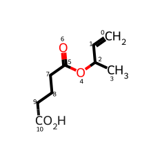 C=CC(C)OC(=O)CCCC(=O)O